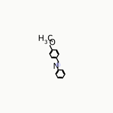 COCc1ccc(/C=N/c2ccccc2)cc1